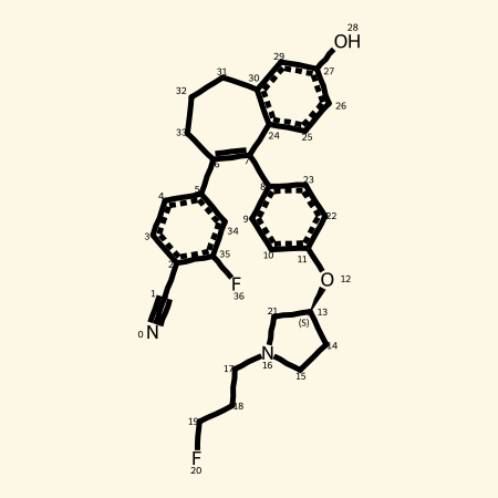 N#Cc1ccc(C2=C(c3ccc(O[C@H]4CCN(CCCF)C4)cc3)c3ccc(O)cc3CCC2)cc1F